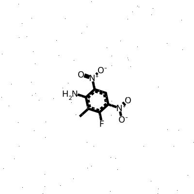 Cc1c(N)c([N+](=O)[O-])cc([N+](=O)[O-])c1F